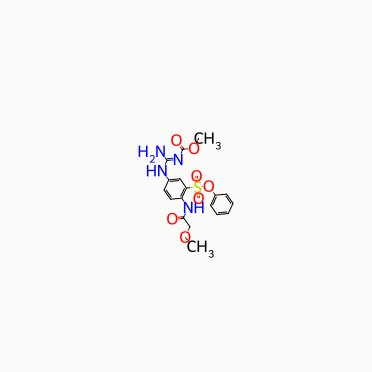 COCC(=O)Nc1ccc(NC(N)=NC(=O)OC)cc1S(=O)(=O)Oc1ccccc1